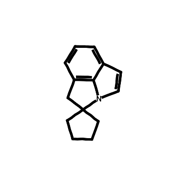 c1cc2c3c(c1)ccn3C1(CCCC1)C2